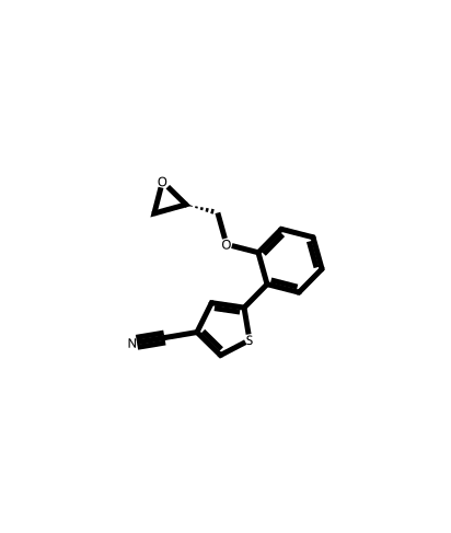 N#Cc1csc(-c2ccccc2OC[C@@H]2CO2)c1